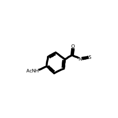 CC(=O)Nc1ccc(C(=O)N=S)cc1